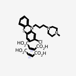 CN1CCN(CCCN2c3ccccc3Sc3ccc(Cl)cc32)CC1.O=C(O)/C=C\C(=O)O.O=C(O)/C=C\C(=O)O